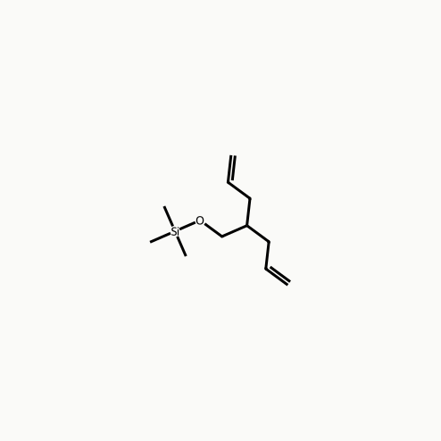 C=CCC(CC=C)CO[Si](C)(C)C